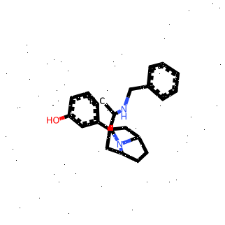 CC(CN1C2CCC1CC(c1cccc(O)c1)C2)NCc1ccccc1